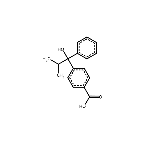 CC(C)C(O)(c1ccccc1)c1ccc(C(=O)O)cc1